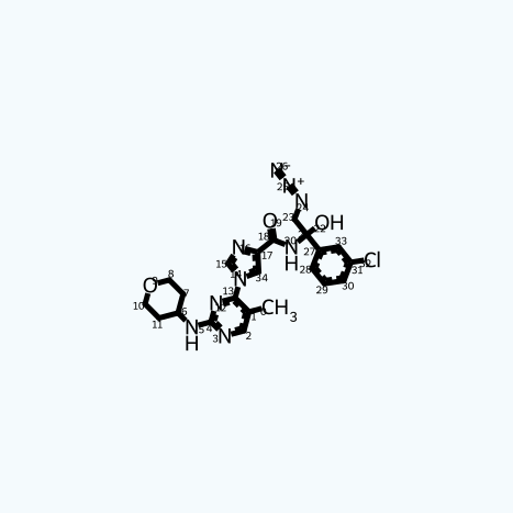 Cc1cnc(NC2CCOCC2)nc1-n1cnc(C(=O)NC(O)(CN=[N+]=[N-])c2cccc(Cl)c2)c1